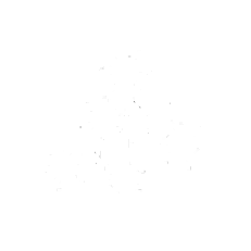 c1ccc(N2c3ccccc3B3c4c(oc5ccccc45)-n4c5ccccc5c5ccc2c3c54)cc1